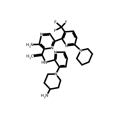 C=C(Nc1ncccc1N1CCC(N)CC1)c1nc(-c2nc(N3CCCCC3)ccc2C(F)(F)F)cnc1N